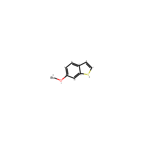 CCC(C)Oc1ccc2c[c]sc2c1